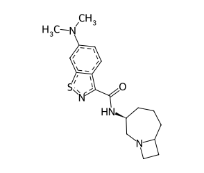 CN(C)c1ccc2c(C(=O)N[C@H]3CCCC4CCN4C3)nsc2c1